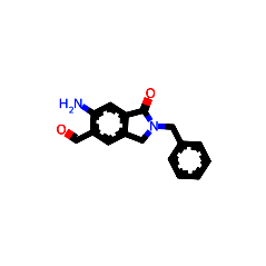 Nc1cc2c(cc1C=O)CN(Cc1ccccc1)C2=O